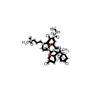 CCOc1cc(Cl)c(S(=O)(=O)NC(C)(C)C)cc1C1=N[C@@](C)(C2C=CC(Cl)=CC2)[C@@](C)(c2ccc(Cl)cc2)N1C(=O)N1CCN(CCCS(C)(=O)=O)CC1